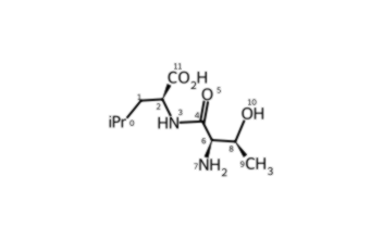 CC(C)C[C@H](NC(=O)[C@H](N)[C@H](C)O)C(=O)O